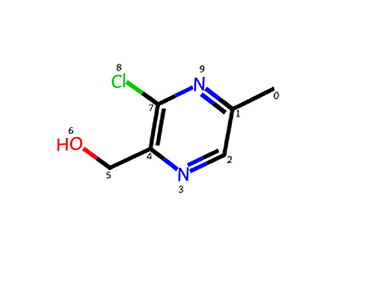 Cc1cnc(CO)c(Cl)n1